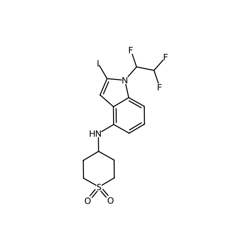 O=S1(=O)CCC(Nc2cccc3c2cc(I)n3C(F)C(F)F)CC1